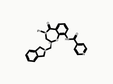 CC(C)N1C[C@H](CN2Cc3ccccc3C2)Oc2c(NC(=O)c3ccncc3)cccc2C1=O